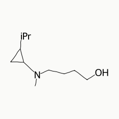 CC(C)C1CC1N(C)CCCCO